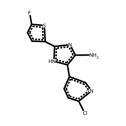 Nc1nc(-c2ccc(F)s2)[nH]c1-c1ccc(Cl)nc1